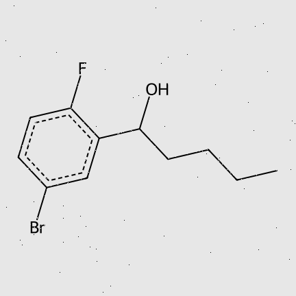 CCCCC(O)c1cc(Br)ccc1F